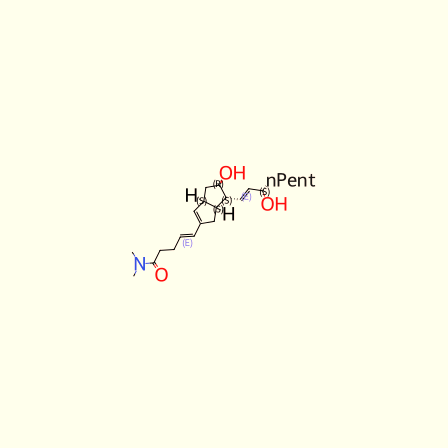 CCCCC[C@H](O)/C=C/[C@@H]1[C@H]2CC(/C=C/CCC(=O)N(C)C)=C[C@H]2C[C@H]1O